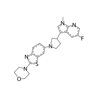 Cn1cc(C2CCN(c3ccc4nc(N5CCOCC5)sc4c3)C2)c2cc(F)cnc21